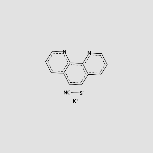 N#C[S-].[K+].c1cnc2c(c1)ccc1cccnc12